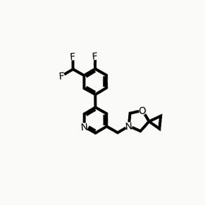 Fc1ccc(-c2cncc(CN3COC4(CC4)C3)c2)cc1C(F)F